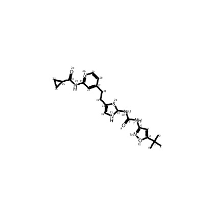 CC(C)(C)c1cc(NC(=O)NC2NC=C(CCc3ccnc(NC(=O)C4CC4)c3)S2)no1